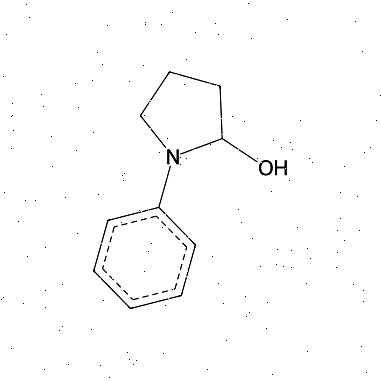 OC1CCCN1c1ccccc1